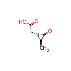 C=C1C(=O)N1CC(=O)O